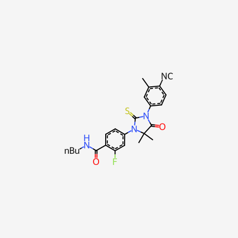 [C-]#[N+]c1ccc(N2C(=O)C(C)(C)N(c3ccc(C(=O)NCCCC)c(F)c3)C2=S)cc1C